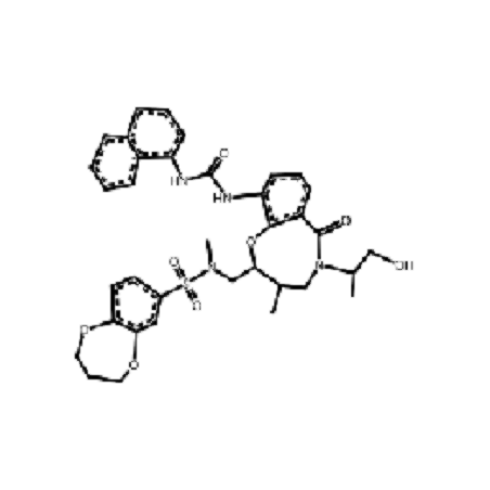 CC1CN(C(C)CO)C(=O)c2cccc(NC(=O)Nc3cccc4ccccc34)c2OC1CN(C)S(=O)(=O)c1ccc2c(c1)OCCCO2